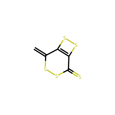 C=C1SSC(=S)c2ssc21